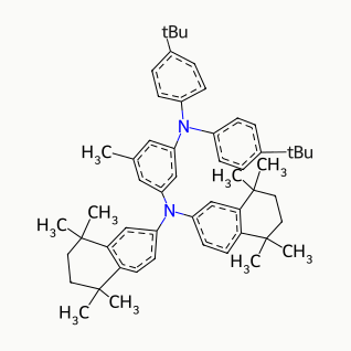 Cc1cc(N(c2ccc(C(C)(C)C)cc2)c2ccc(C(C)(C)C)cc2)cc(N(c2ccc3c(c2)C(C)(C)CCC3(C)C)c2ccc3c(c2)C(C)(C)CCC3(C)C)c1